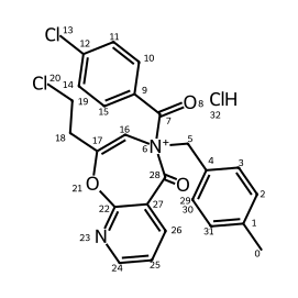 Cc1ccc(C[N+]2(C(=O)c3ccc(Cl)cc3)C=C(CCCl)Oc3ncccc3C2=O)cc1.Cl